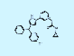 O=C(C[n+]1cccc(-c2cc(C(c3ccccc3)c3ccccc3)n[nH]2)c1)NC1CC1.[Cl-]